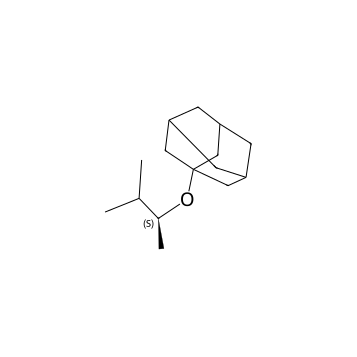 CC(C)[C@H](C)OC12CC3CC(CC(C3)C1)C2